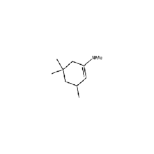 CNC1=CC(C)CC(C)(C)C1